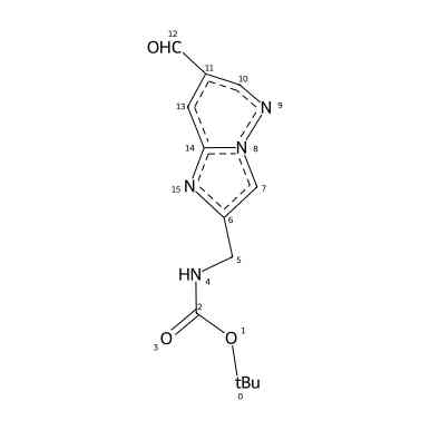 CC(C)(C)OC(=O)NCc1cn2ncc(C=O)cc2n1